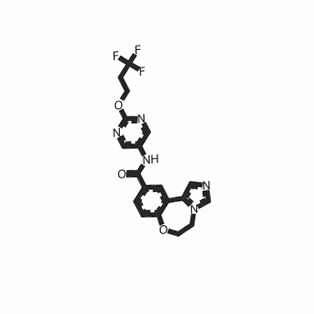 O=C(Nc1cnc(OCCC(F)(F)F)nc1)c1ccc2c(c1)-c1cncn1CCO2